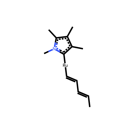 CC=CC=[CH][Ru][c]1c(C)c(C)c(C)n1C